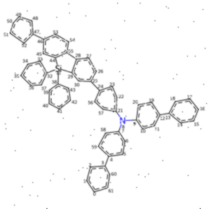 c1ccc(-c2ccc(N(c3ccc(-c4ccccc4)cc3)c3ccc(-c4ccc5c(c4)[Si](c4ccccc4)(c4ccccc4)c4cc(-c6ccccc6)ccc4-5)cc3)cc2)cc1